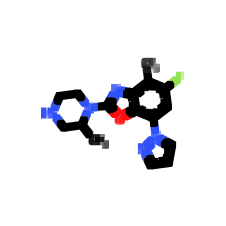 CC1CNCCN1c1nc2c(C(F)(F)F)c(F)cc(-n3cccn3)c2o1